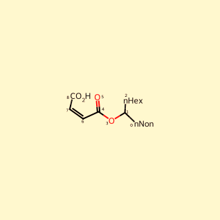 CCCCCCCCCC(CCCCCC)OC(=O)/C=C\C(=O)O